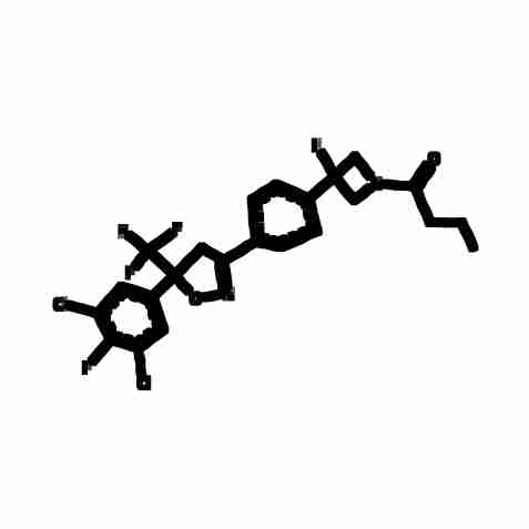 CCCC(=O)N1CC(F)(c2ccc(C3=NOC(c4cc(Cl)c(F)c(Cl)c4)(C(F)(F)F)C3)cc2)C1